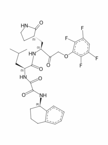 CC(C)C[C@H](NC(=O)C(=O)N[C@@H]1CCCc2ccccc21)C(=O)N[C@@H](C[C@@H]1CCNC1=O)C(=O)COc1c(F)c(F)cc(F)c1F